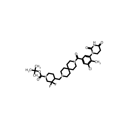 Cc1c(Cl)cc(C(=O)N2CCC3(CCN(CC4CCN(C(=O)OC(C)(C)C)CC4(F)F)CC3)CC2)cc1N1CCC(=O)NC1=O